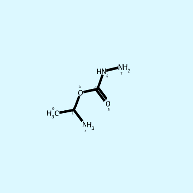 CC(N)OC(=O)NN